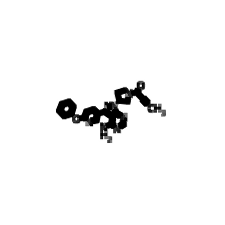 CC#CC(=O)N1CC[C@@H](n2nc(-c3ccc(Oc4ccccc4)nc3)c3c(N)ncnc32)C1